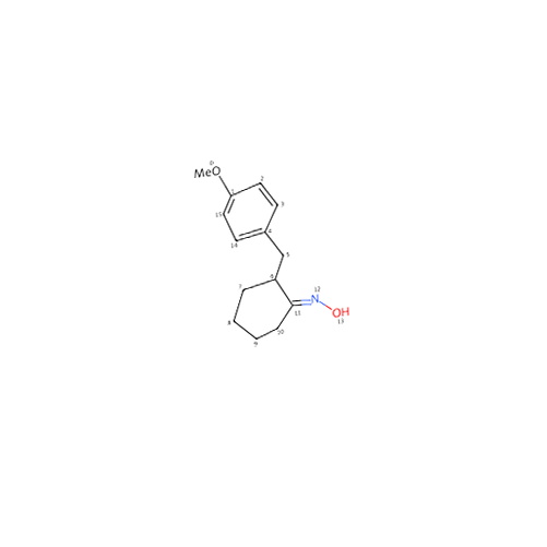 COc1ccc(CC2CCCC/C2=N\O)cc1